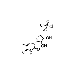 Cc1cn([C@@H]2O[C@H](COP(=O)(Cl)Cl)[C@H](O)C2O)c(=O)[nH]c1=O